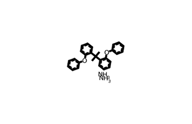 CC(C)(c1ccccc1Oc1ccccc1)c1ccccc1Oc1ccccc1.N.N